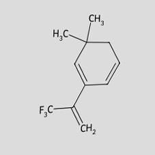 C=C(C1=CC(C)(C)CC=C1)C(F)(F)F